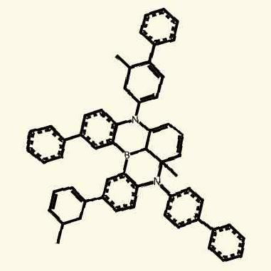 CC1C=CC=C(c2ccc3c(c2)B2c4cc(-c5ccccc5)ccc4N(C4=CC=C(c5ccccc5)C(C)C4)C4=CC=CC(C)(C24)N3c2ccc(-c3ccccc3)cc2)C1